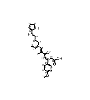 C=NN(/C=C(\C)C(=O)N[C@@H](CC(=O)O)c1ccc(OC)nc1)CCCNC1=NCCN1